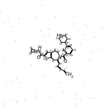 C=C/C=C\C=C1/Cc2sc(C(=O)NN3CC3)cc2CCN1C(=O)c1cccc(C2CCNCC2)n1